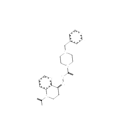 CC(=O)N1CC/C(=N/NC(=S)N2CCN(Cc3ccncc3)CC2)c2ncccc21